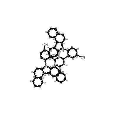 N#Cc1ccc(-n2c3ccccc3c3c4ccccc4ccc32)c(-c2nc(-c3ccccc3)nc(-c3cc(C#N)ccc3-n3c4ccccc4c4c5ccccc5ccc43)n2)c1